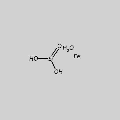 O.O=[Si](O)O.[Fe]